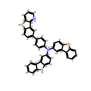 c1ccc2c(c1)sc1ccc(N(c3ccc(-c4ccc5sc6cccnc6c5c4)cc3)c3ccc4sc5ccccc5c4c3)cc12